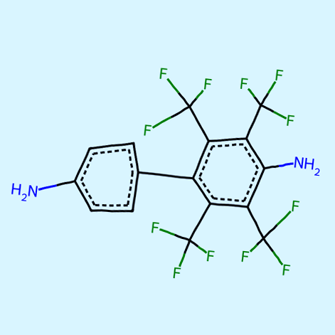 Nc1ccc(-c2c(C(F)(F)F)c(C(F)(F)F)c(N)c(C(F)(F)F)c2C(F)(F)F)cc1